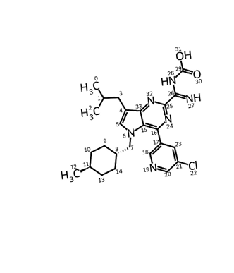 CC(C)Cc1cn(C[C@H]2CC[C@H](C)CC2)c2c(-c3cncc(Cl)c3)nc(C(=N)NC(=O)O)nc12